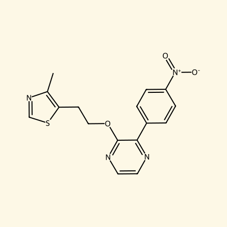 Cc1ncsc1CCOc1nccnc1-c1ccc([N+](=O)[O-])cc1